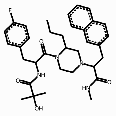 CCCC1CN(C(Cc2ccc3ccccc3c2)C(=O)NC)CCN1C(=O)C(Cc1ccc(F)cc1)NC(=O)C(C)(C)O